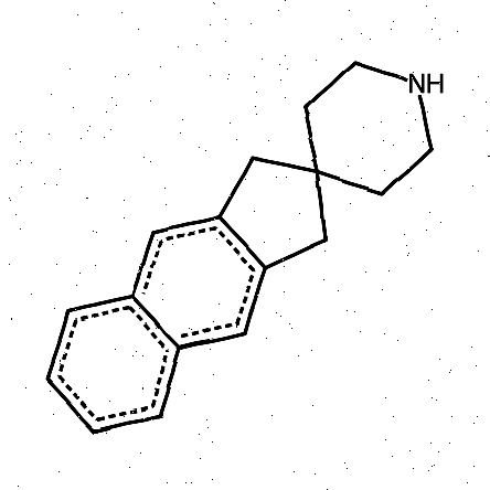 c1ccc2cc3c(cc2c1)CC1(CCNCC1)C3